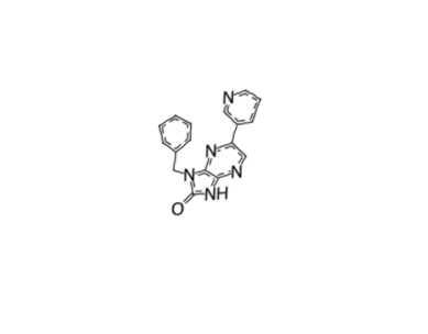 O=c1[nH]c2ncc(-c3cccnc3)nc2n1Cc1ccccc1